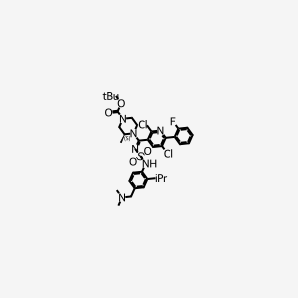 CC(C)c1cc(CN(C)C)ccc1NS(=O)(=O)N=C(c1cc(Cl)c(-c2ccccc2F)nc1Cl)N1CCN(C(=O)OC(C)(C)C)C[C@@H]1C